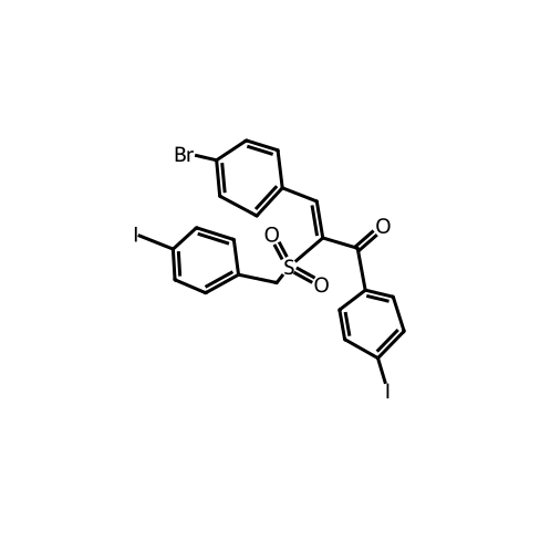 O=C(C(=Cc1ccc(Br)cc1)S(=O)(=O)Cc1ccc(I)cc1)c1ccc(I)cc1